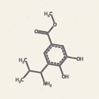 COC(=O)c1cc(O)c(O)c(C(N)C(C)C)c1